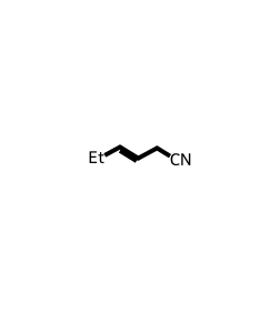 [CH2]CC=CCC#N